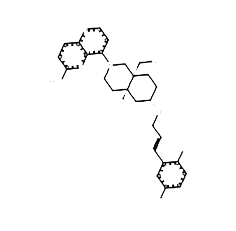 COc1ccc2nccc(N3CC[C@H]4C[C@@H](NCC=Cc5cc(F)ccc5F)CC[C@@]4(CN)C3)c2n1